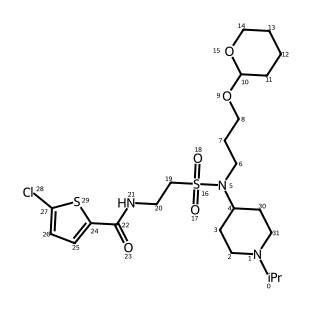 CC(C)N1CCC(N(CCCOC2CCCCO2)S(=O)(=O)CCNC(=O)c2ccc(Cl)s2)CC1